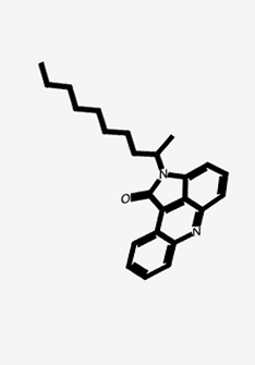 CCCCCCCCC(C)N1C(=O)c2c3ccccc3nc3cccc1c23